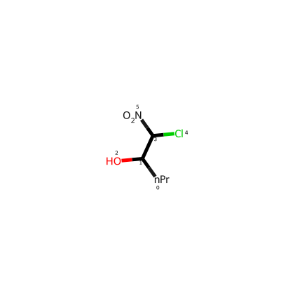 CCCC(O)C(Cl)[N+](=O)[O-]